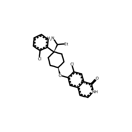 CCC(N)[C@]1(c2ccccc2Cl)CC[C@H](Oc2cc3cc[nH]c(=O)c3cc2Cl)CC1